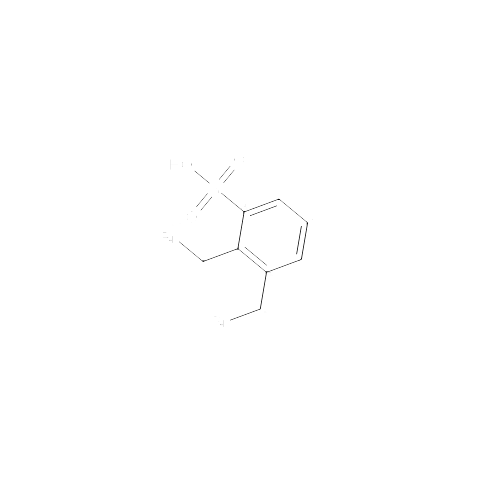 O=S(=O)(O)c1cccc(CBr)c1CBr